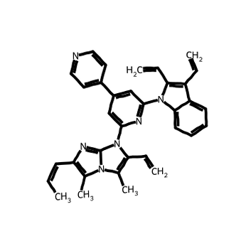 C=Cc1c(C=C)n(-c2cc(-c3ccncc3)cc(-n3c(C=C)c(C)n4c(C)c(/C=C\C)nc34)n2)c2ccccc12